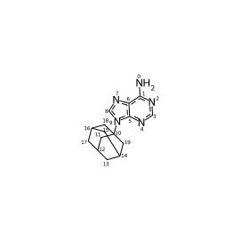 Nc1ncnc2c1ncn2C12CC3CC(CC(C3)C1)C2